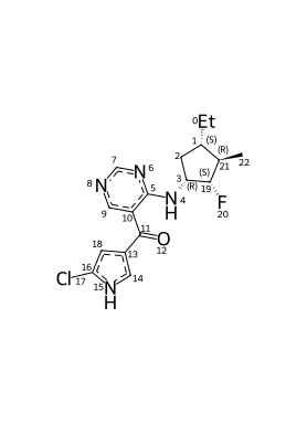 CC[C@H]1C[C@@H](Nc2ncncc2C(=O)c2c[nH]c(Cl)c2)[C@@H](F)[C@@H]1C